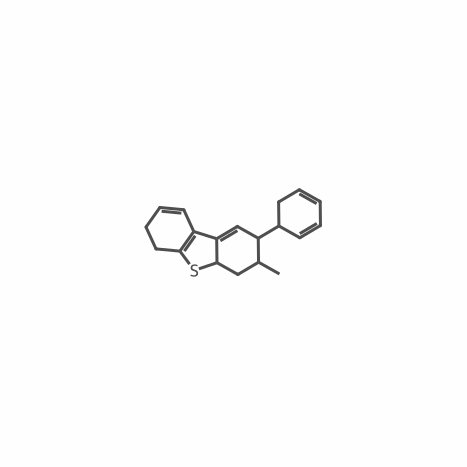 CC1CC2SC3=C(C=CCC3)C2=CC1C1C=CC=CC1